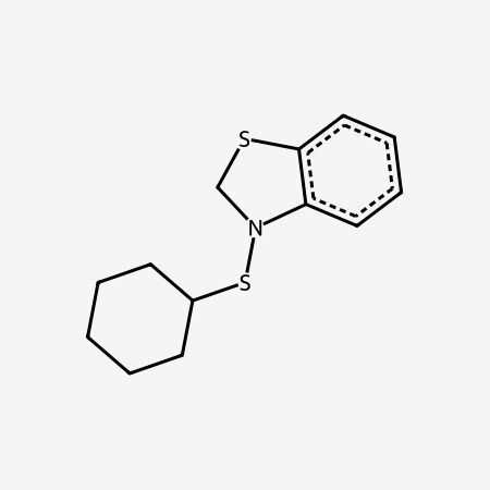 c1ccc2c(c1)SCN2SC1CCCCC1